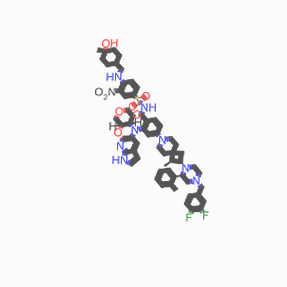 Cc1ccccc1[C@@H]1CN(Cc2ccc(F)c(F)c2)CCN1[C@H]1CC2(CCN(c3ccc(C(=O)NS(=O)(=O)c4ccc(NCC5CCC(C)(O)CC5)c([N+](=O)[O-])c4)c(N4c5cc6cc[nH]c6nc5O[C@H]5COCC[C@@H]54)c3)CC2)[C@@H]1C